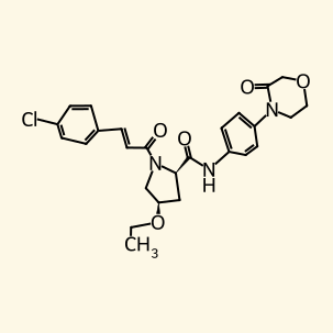 CCO[C@@H]1C[C@H](C(=O)Nc2ccc(N3CCOCC3=O)cc2)N(C(=O)/C=C/c2ccc(Cl)cc2)C1